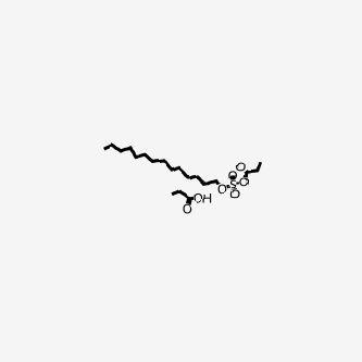 CCC(=O)O.CCCCCCCCCCCCCCOS(=O)(=O)OC(=O)CC